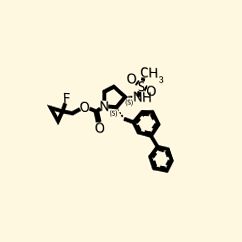 CS(=O)(=O)N[C@H]1CCN(C(=O)OCC2(F)CC2)[C@H]1Cc1cccc(-c2ccccc2)c1